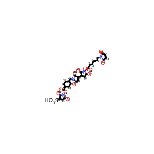 O=C(CCCCCN1C(=O)C=CC1=O)ON1C(=O)CC(C2=CC(=O)N(CC3CCC(C(=O)ON4C(=O)CC(S(=O)(=O)O)C4=O)CC3)C2=O)C1=O